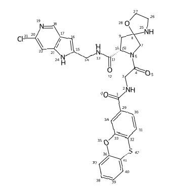 O=C(NCC(=O)N1CC2(C[C@H]1C(=O)NCc1cc3cnc(Cl)cc3[nH]1)NCCO2)c1ccc2c(c1)Oc1ccccc1S2